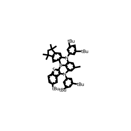 Cc1cc2c3c(c1)N(c1cc(C(C)(C)C)cc(C(C)(C)C)c1)c1c(sc4ccc(C(C)(C)C)cc14)B3c1cc3c(cc1N2c1cc(C(C)(C)C)cc(C(C)(C)C)c1)C(C)(C)CC3(C)C